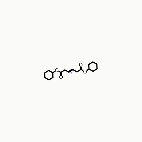 O=C(C/C=C/CC(=O)OC1CCCCC1)OC1CCCCC1